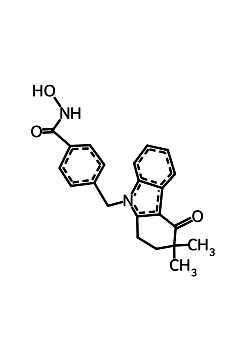 CC1(C)CCc2c(c3ccccc3n2Cc2ccc(C(=O)NO)cc2)C1=O